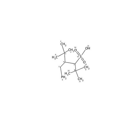 CC(C)(C)C(CP)C(C(C)(C)C)S(=O)(=O)O